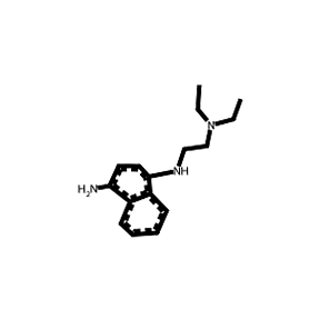 CCN(CC)CCNc1ccc(N)c2ccccc12